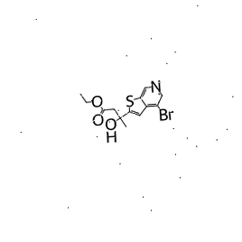 CCOC(=O)CC(C)(O)c1cc2c(Br)cncc2s1